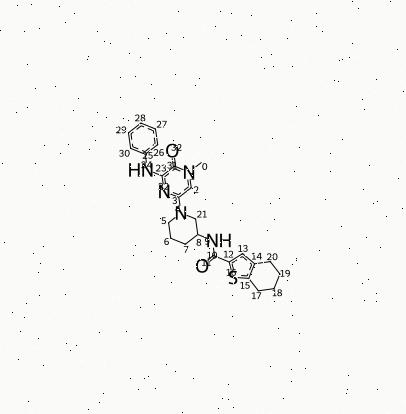 Cn1cc(N2CCCC(NC(=O)c3cc4c(s3)CCCC4)C2)nc(Nc2ccccc2)c1=O